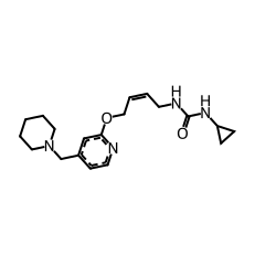 O=C(NC/C=C\COc1cc(CN2CCCCC2)ccn1)NC1CC1